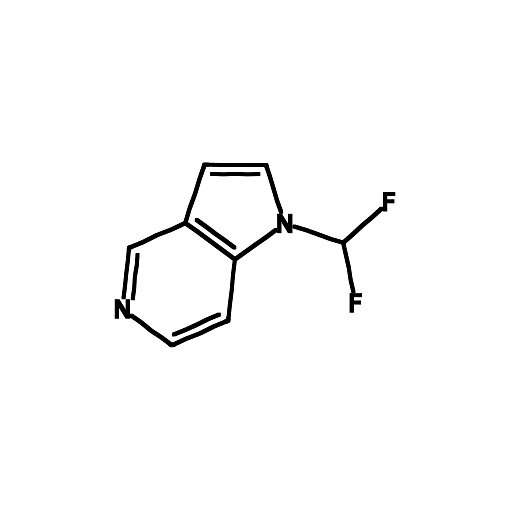 FC(F)n1ccc2cnccc21